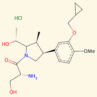 COc1ccc([C@H]2CN(C(=O)[C@H](N)CO)C([C@@H](C)O)[C@H]2C)cc1OCC1CC1.Cl